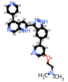 CN(C)CCOc1cncc(-c2ccc3[nH]nc(-c4cc5c(-c6ccncc6)cncc5[nH]4)c3c2)c1